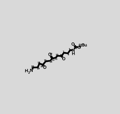 CC(C)(C)OC(=O)NCCCC(=O)CCC(=O)CCC(=O)CCCN